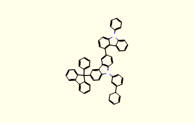 C1=CCC(c2cccc(-n3c4ccc(-c5cccc6c5c5ccccc5n6-c5ccccc5)cc4c4cc(C5(c6ccccc6)c6ccccc6-c6ccccc65)ccc43)c2)C=C1